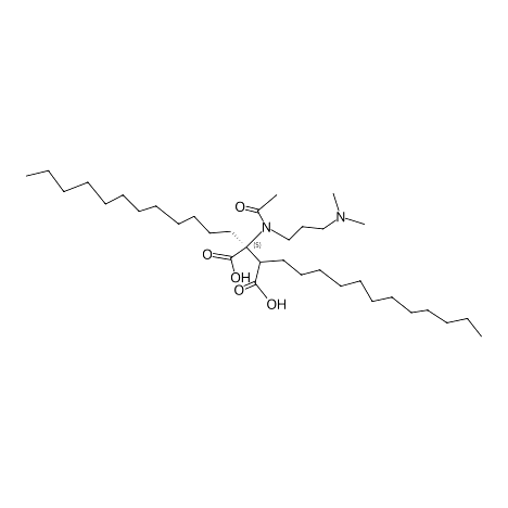 CCCCCCCCCCCCC(C(=O)O)[C@@](CCCCCCCCCCCC)(C(=O)O)N(CCCN(C)C)C(C)=O